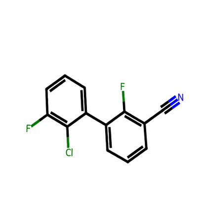 N#Cc1cccc(-c2cccc(F)c2Cl)c1F